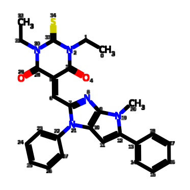 CCN1C(=O)C(=Cc2nc3c(cc(-c4ccccc4)n3C)n2-c2ccccc2)C(=O)N(CC)C1=S